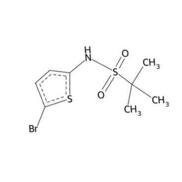 CC(C)(C)S(=O)(=O)Nc1ccc(Br)s1